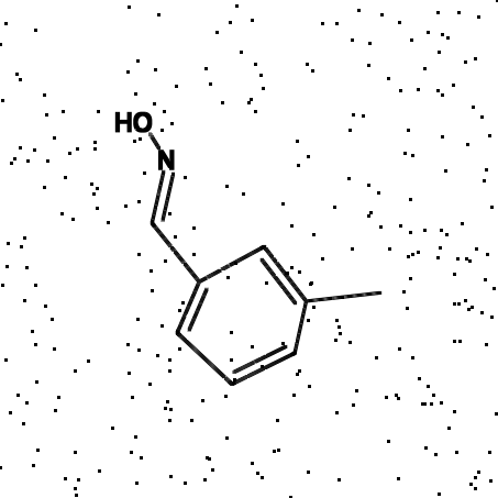 Cc1cccc(C=NO)c1